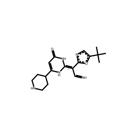 CC(C)(C)c1cnc(/C(C=N)=C2\NC(=O)C=C(C3CCNCC3)N2)o1